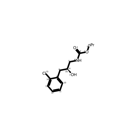 CCCOC(=O)NC[C@@H](O)Cc1ccccc1Cl